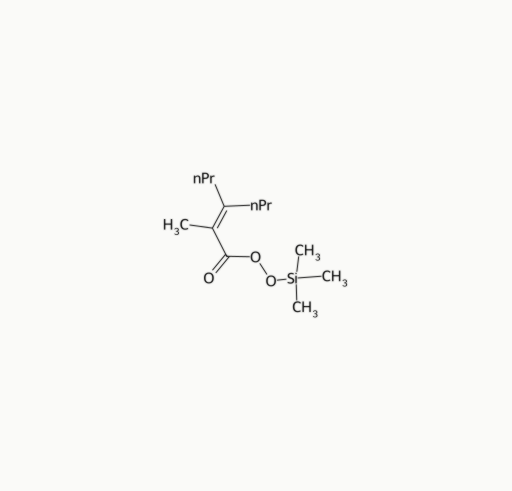 CCCC(CCC)=C(C)C(=O)OO[Si](C)(C)C